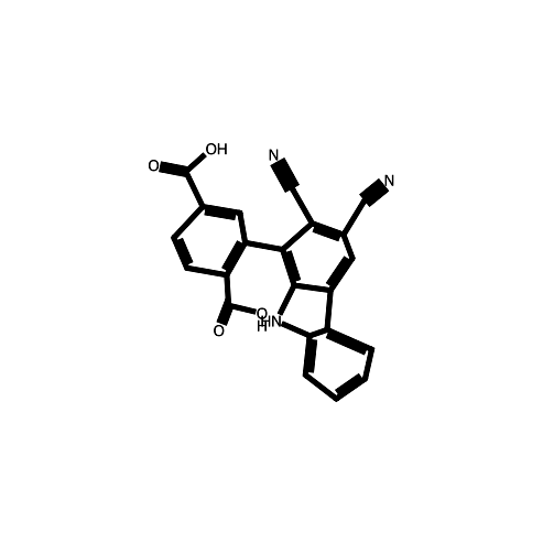 N#Cc1cc2c([nH]c3ccccc32)c(-c2cc(C(=O)O)ccc2C(=O)O)c1C#N